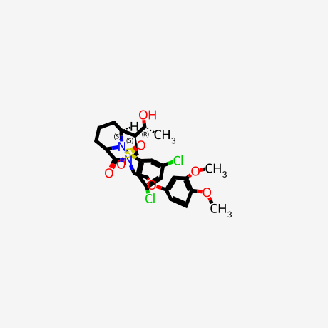 COc1ccc(OCCN2C[C@H]([C@@H](C)O)[C@@H]3CCCC(C2=O)N3S(=O)(=O)c2cc(Cl)cc(Cl)c2)cc1OC